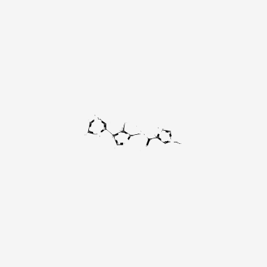 Cn1cnc(C(=O)Nc2scc(-c3cnccn3)c2C(=O)O)c1